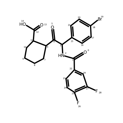 O=C(NC(C(=O)C1CCCCC1C(=O)O)c1ccc(Br)cc1)c1ccc(F)c(F)c1